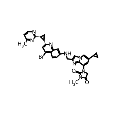 Cc1ccnc([C@H]2C[C@@H]2c2cc(Br)c3ccc(NCc4cn5cc(C6CC6)cc(N6CC(=O)N(C)C6=O)c5n4)cc3n2)n1